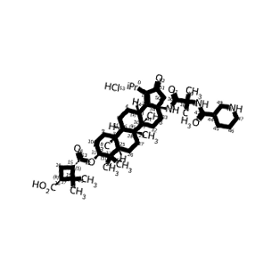 CC(C)C1=C2[C@H]3CC[C@@H]4[C@@]5(C)CC[C@H](OC(=O)[C@H]6C[C@@H](C(=O)O)C6(C)C)C(C)(C)[C@@H]5CC[C@@]4(C)[C@]3(C)CC[C@@]2(NC(=O)C(C)(C)NC(=O)C2CCCNC2)CC1=O.Cl